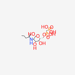 C=C(CCC)N[C@H]1C(O)O[C@H](COP(=O)(O)CP(=O)(O)O)[C@@H](O)[C@@H]1O